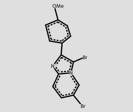 COc1ccc(-c2nc3ccc(Br)cn3c2Br)cc1